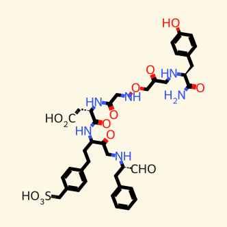 NC(=O)[C@H](Cc1ccc(O)cc1)NCC(=O)CONCC(=O)N[C@@H](CC(=O)O)C(=O)NC(CCc1ccc(CS(=O)(=O)O)cc1)C(=O)CN[C@H](C=O)Cc1ccccc1